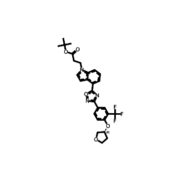 CC(C)(C)OC(=O)CCn1ccc2c(-c3nc(-c4ccc(O[C@@H]5CCOC5)c(C(F)(F)F)c4)no3)cccc21